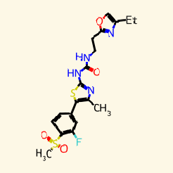 CCc1coc(CCNC(=O)Nc2nc(C)c(-c3ccc(S(C)(=O)=O)c(F)c3)s2)n1